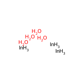 O.O.O.O.[InH3].[InH3].[InH3]